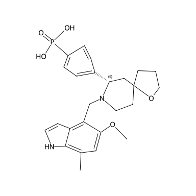 COc1cc(C)c2[nH]ccc2c1CN1CCC2(CCCO2)C[C@H]1c1ccc(P(=O)(O)O)cc1